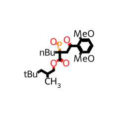 CCCCC(CC(=O)c1c(OC)cccc1OC)(P=O)C(=O)OCC(C)CC(C)(C)C